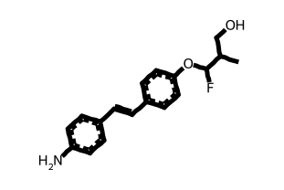 CC(CO)C(F)Oc1ccc(C=Cc2ccc(N)cc2)cc1